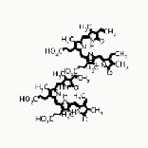 C=CC1=C(C)/C(=C/C2=NC(=C\c3[nH]c(/C=C4\NC(=O)C(C)=C4C=C)c(C)c3CCC(=O)O)/C(CCC(=O)O)=C2C)NC1=O.C=CC1=C(C)C(CC2=N/C(=C\c3[nH]c(/C=C4\NC(=O)C(C)\C4=C\C)c(C)c3CCC(=O)O)C(CCC(=O)O)=C2C)NC1=O